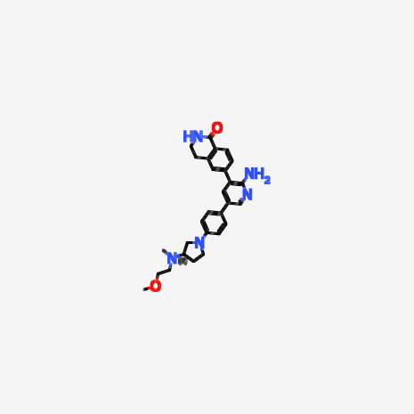 COCCN(C)[C@@H]1CCN(c2ccc(-c3cnc(N)c(-c4ccc5c(c4)CCNC5=O)c3)cc2)C1